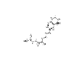 CN(CCC(=O)O)C(=O)CCCCc1ccc2c(n1)NCCC2